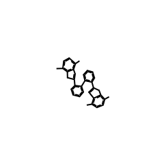 Cc1ccc(C)c2c1C=C(c1ccccc1-c1ccccc1C1=Cc3c(C)ccc(C)c3C1)C2